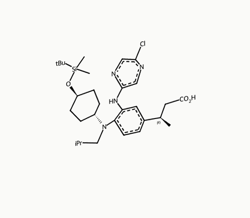 CC(C)CN(c1ccc([C@H](C)CC(=O)O)cc1Nc1cnc(Cl)cn1)[C@H]1CC[C@H](O[Si](C)(C)C(C)(C)C)CC1